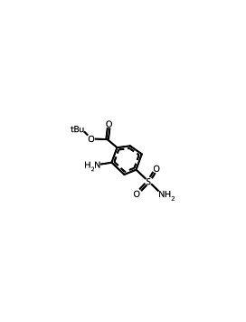 CC(C)(C)OC(=O)c1ccc(S(N)(=O)=O)cc1N